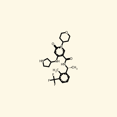 Cc1c([C@@H](C)NC(=O)c2cn(C3CCOCC3)c(=O)cc2NC2CCNC2)cccc1C(F)(F)F